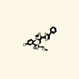 COCc1nnc2n1Cc1c(-c3nc(-c4ccccc4)co3)ncn1-c1ccc(Cl)cc1-2